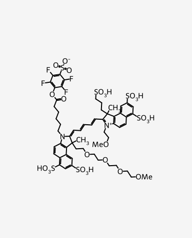 COCCOCCOCCOCCC1(C)\C(=C/C=C/C=C/C2=[N+](CCOC)c3ccc4c(S(=O)(=O)O)cc(S(=O)(=O)O)cc4c3C2(C)CCCS(=O)(=O)O)N(CCCCCC(=O)Oc2c(F)c(F)c(S(=O)(=O)[O-])c(F)c2F)c2ccc3c(S(=O)(=O)O)cc(S(=O)(=O)O)cc3c21